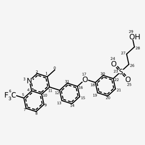 Cc1cnc2c(C(F)(F)F)cccc2c1-c1cccc(Oc2cccc(S(=O)(=O)CCCO)c2)c1